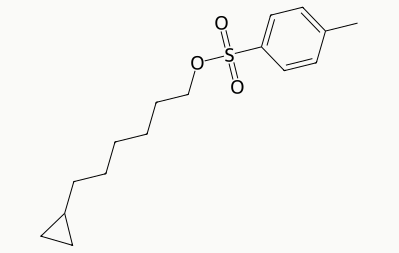 Cc1ccc(S(=O)(=O)OCCCCCCC2CC2)cc1